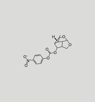 C[C@H]1C2COC3OCC(C2OC(=O)Oc2ccc([N+](=O)[O-])cc2)C31